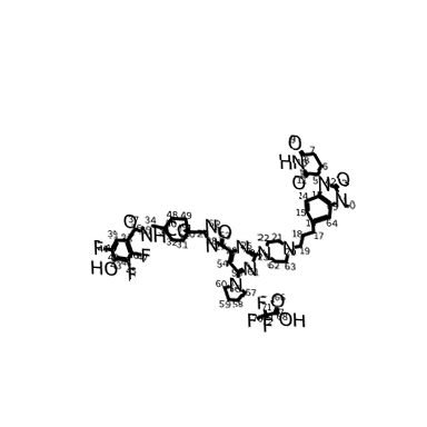 Cn1c(=O)n([C@@H]2CCC(=O)NC2=O)c2ccc(CCCN3CCN(c4nc(-c5nc(C67CCC(CNC(=O)c8cc(F)c(O)c(F)c8F)(CC6)CC7)no5)cc(N5CCCC5)n4)CC3)cc21.O=C(O)C(F)(F)F